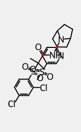 CC(C)(C(=O)NC1CC2CCC(C1)N2c1ccc(S(C)(=O)=O)cn1)S(=O)(=O)c1ccc(Cl)cc1Cl